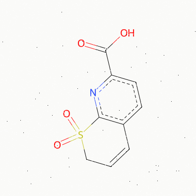 O=C(O)c1ccc2c(n1)S(=O)(=O)CC=C2